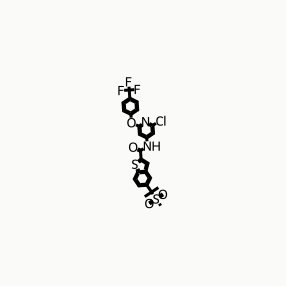 CC(C)(c1ccc2sc(C(=O)Nc3cc(Cl)nc(Oc4ccc(C(F)(F)F)cc4)c3)cc2c1)S(C)(=O)=O